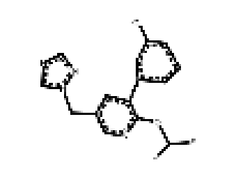 FC(F)Oc1ncc(Cn2cncn2)cc1-c1cccc(Cl)c1